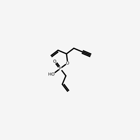 C#CCC(C=C)OP(=O)(O)CC=C